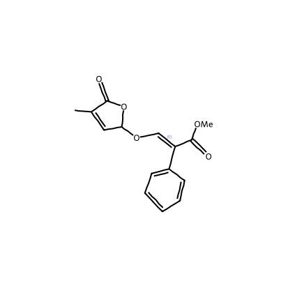 COC(=O)/C(=C/OC1C=C(C)C(=O)O1)c1ccccc1